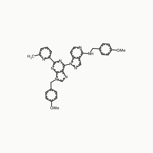 COc1ccc(CNc2nccc3c2cnn3-c2nc(-c3cccc(C)n3)nc3c2ncn3Cc2ccc(OC)cc2)cc1